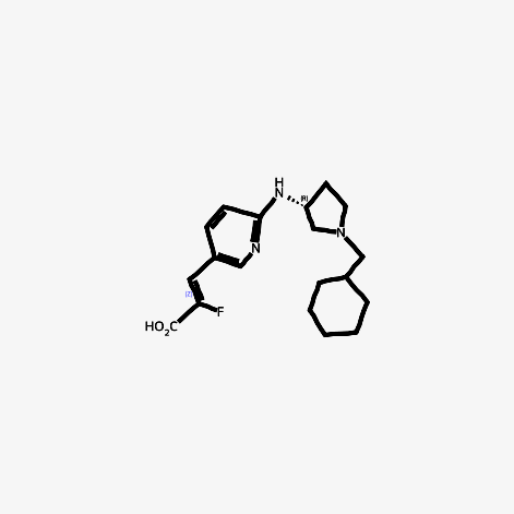 O=C(O)/C(F)=C/c1ccc(N[C@@H]2CCN(CC3CCCCC3)C2)nc1